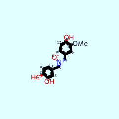 COc1cc(C/[N+]([O-])=C/c2ccc(O)c(O)c2)ccc1O